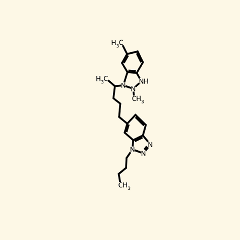 CCCCn1nnc2ccc(CCCC(C)N3c4cc(C)ccc4NN3C)cc21